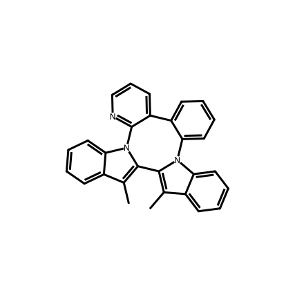 Cc1c2ccccc2n2c3ccccc3c3cccnc3n3c4ccccc4c(C)c3c12